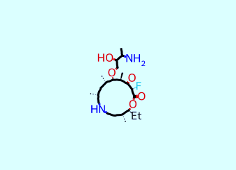 CC[C@H]1OC(=O)[C@@H](F)C(=O)[C@H](C)[C@@H](OCC(O)C(C)N)[C@@H](C)C[C@@H](C)CNCC[C@H]1C